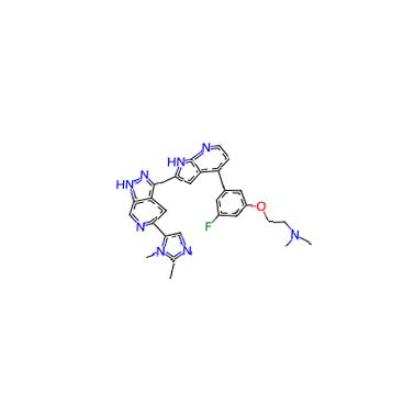 Cc1ncc(-c2cc3c(-c4cc5c(-c6cc(F)cc(OCCN(C)C)c6)ccnc5[nH]4)n[nH]c3cn2)n1C